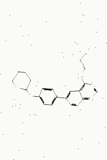 CC(C)CCNc1ncnc2ccc(-c3ccc(OC4CCCCO4)cc3)cc12